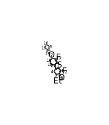 CCOc1ccc2c(sc3c(F)c(OCC4CCC4)ccc32)c1F